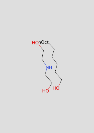 CCCCCCCCCCCCCO.OCCNCCO